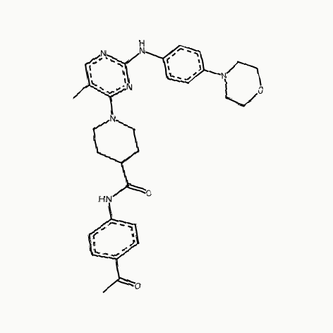 CC(=O)c1ccc(NC(=O)C2CCN(c3nc(Nc4ccc(N5CCOCC5)cc4)ncc3C)CC2)cc1